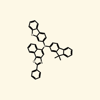 CC1(C)c2ccccc2-c2ccc(N(c3ccc4c(c3)oc3ccccc34)c3cc4nc(-c5ccccc5)oc4c4ccccc34)cc21